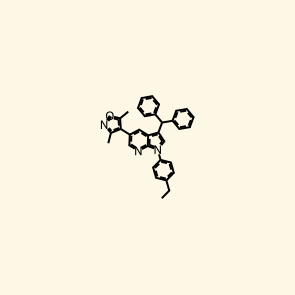 CCc1ccc(-n2cc(C(c3ccccc3)c3ccccc3)c3cc(-c4c(C)noc4C)cnc32)cc1